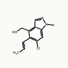 C/C=C/c1c(Cl)cc2c(cnn2I)c1CO